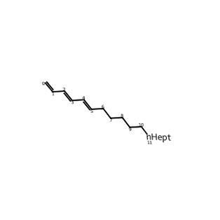 C=C/C=C/C=C/CCCCCCCC[CH]CCC